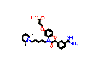 C[C@@H]1CCC[C@H](C)N1CCCCCN1C(=O)C(c2cccc(C(=N)N)c2)Oc2ccc(OCCC(=O)O)cc21